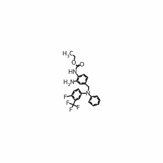 CCOC(=O)Nc1ccc(CN(c2ccccc2)c2ccc(F)c(C(F)(F)F)c2)cc1N